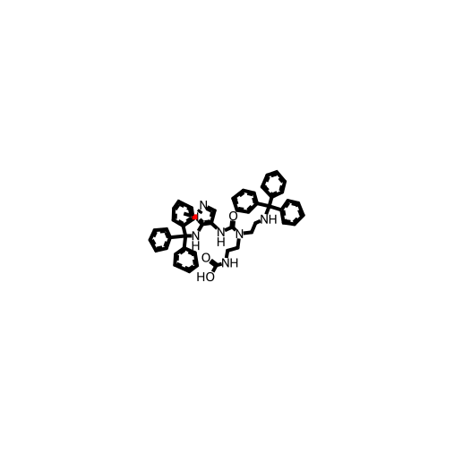 Cn1ncc(NC(=O)N(CCNC(=O)O)CCNC(c2ccccc2)(c2ccccc2)c2ccccc2)c1NC(c1ccccc1)(c1ccccc1)c1ccccc1